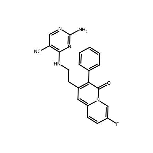 N#Cc1cnc(N)nc1NCCc1cc2ccc(F)cn2c(=O)c1-c1ccccc1